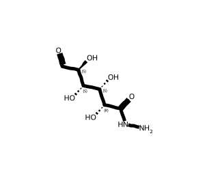 NNC(=O)[C@H](O)[C@@H](O)[C@H](O)[C@H](O)C=O